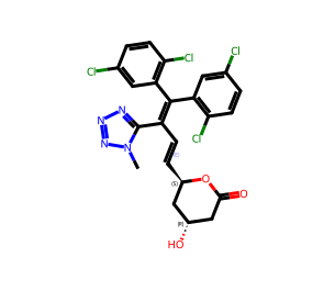 Cn1nnnc1C(/C=C/[C@@H]1C[C@@H](O)CC(=O)O1)=C(c1cc(Cl)ccc1Cl)c1cc(Cl)ccc1Cl